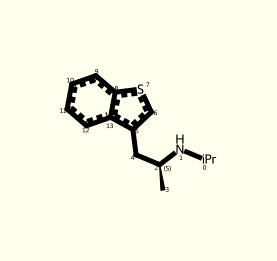 CC(C)N[C@@H](C)Cc1csc2ccccc12